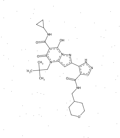 CC(C)(C)Cn1c(=O)c(C(=O)NC2CC2)c(O)n2nc(-c3[nH]ncc3C(=O)NCC3CCOCC3)cc12